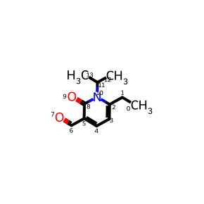 CCc1ccc(C=O)c(=O)n1C(C)C